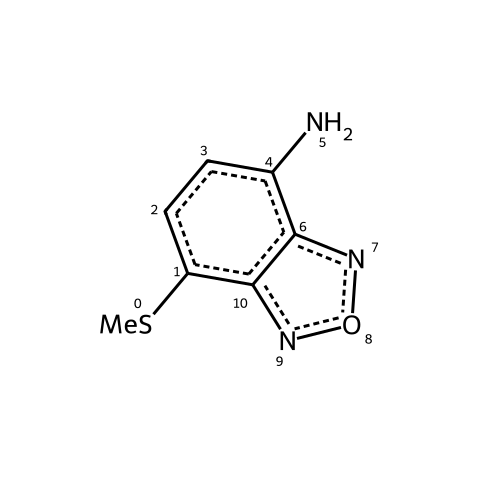 CSc1ccc(N)c2nonc12